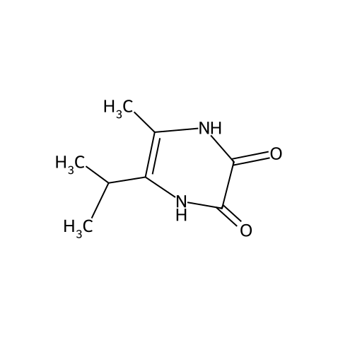 Cc1[nH]c(=O)c(=O)[nH]c1C(C)C